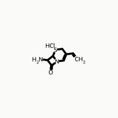 C=CC1=CN2C(=O)C(N)C2SC1.Cl